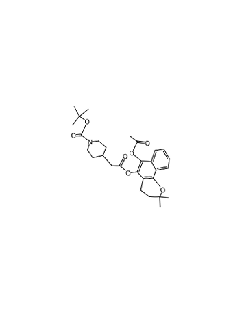 CC(=O)Oc1c(OC(=O)CC2CCN(C(=O)OC(C)(C)C)CC2)c2c(c3ccccc13)OC(C)(C)CC2